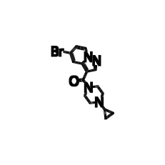 O=C(c1cnn2ccc(Br)cc12)N1CCN(C2CC2)CC1